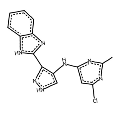 Cc1nc(Cl)cc(Nc2c[nH]nc2-c2nc3ccccc3[nH]2)n1